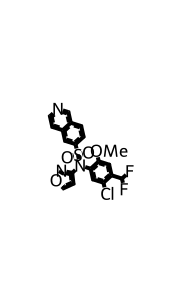 COc1cc(C(F)F)c(Cl)cc1N(c1ccon1)S(=O)(=O)c1ccc2cnccc2c1